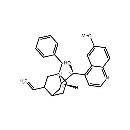 C=CC1C[N+]2(Cc3ccccc3)CCC1C[C@H]2[C@@H](O)c1ccnc2ccc(OC)cc12